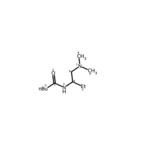 CCCCC(=O)NC(CC)CN(C)C